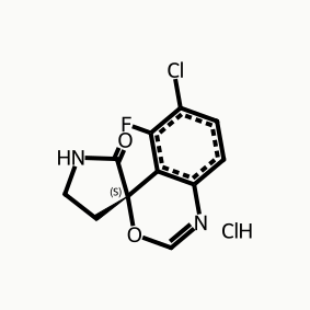 Cl.O=C1NCC[C@@]12OC=Nc1ccc(Cl)c(F)c12